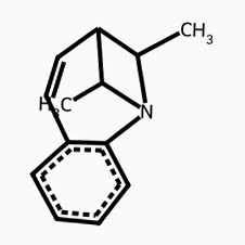 CC1C2C=Cc3ccccc3N1C2C